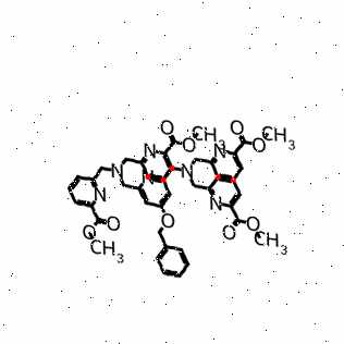 COC(=O)c1cccc(CN(Cc2cc(OCc3ccccc3)cc(CN(Cc3cccc(C(=O)OC)n3)Cc3cccc(C(=O)OC)n3)n2)Cc2cccc(C(=O)OC)n2)n1